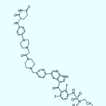 CCN(C)S(=O)(=O)Nc1ccc(F)c(C(=O)c2c[nH]c3ncc(-c4ccc(CN5CCN(C(=O)CN6CCN(c7ccc(NC8CCC(=O)NC8=O)cc7)CC6)CC5)cc4)cc23)c1F